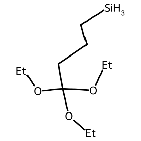 CCOC(CCC[SiH3])(OCC)OCC